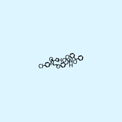 O=C(c1ccccc1)c1ccccc1N[C@@H](Cc1ccc(OCCN(C(=O)C2CCC2)c2ccc(Cl)cc2)cc1)C(=O)O